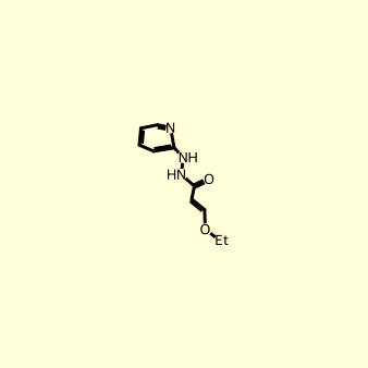 CCOC=CC(=O)NNc1ccccn1